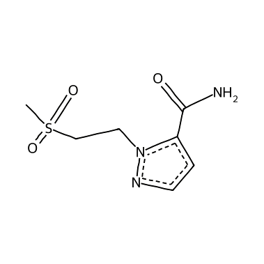 CS(=O)(=O)CCn1nccc1C(N)=O